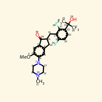 COc1cc2c(cc1N1CCN(C)CC1)CC(Cc1c(F)ccc(C(O)(C(F)(F)F)C(F)(F)F)c1F)C2=O